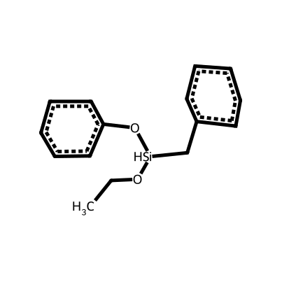 CCO[SiH](Cc1ccccc1)Oc1ccccc1